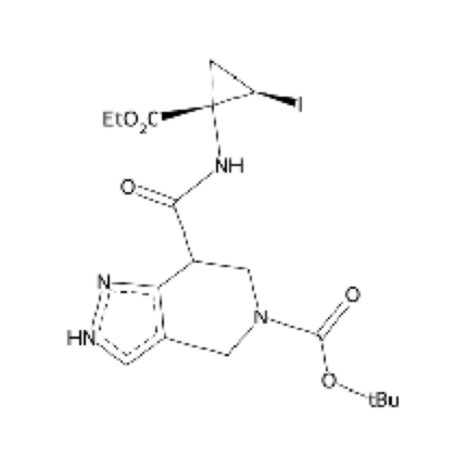 CCOC(=O)[C@@]1(NC(=O)C2CN(C(=O)OC(C)(C)C)Cc3c[nH]nc32)C[C@H]1I